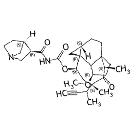 C#CC(C)[C@]1(C)C[C@@H](OC(=O)NC(=O)[C@H]2CN3CC[C@@H]2C3)[C@]23C[C@@H]2CCC2(CC[C@@H](OC)C23)[C@@H](C)C1=O